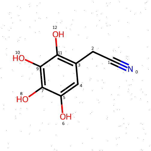 N#CCc1cc(O)c(O)c(O)c1O